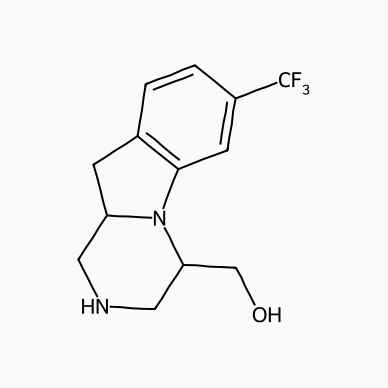 OCC1CNCC2Cc3ccc(C(F)(F)F)cc3N12